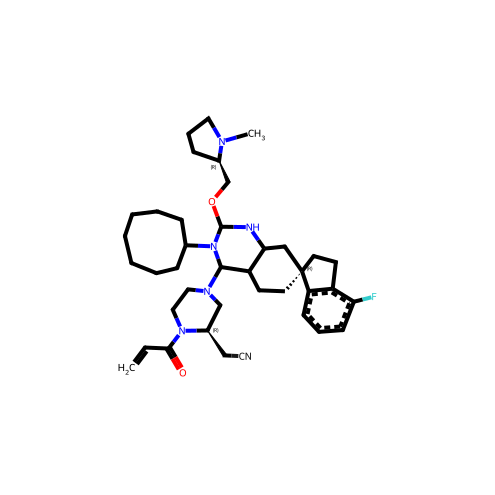 C=CC(=O)N1CCN(C2C3CC[C@@]4(CCc5c(F)cccc54)CC3NC(OC[C@H]3CCCN3C)N2C2CCCCCCC2)C[C@H]1CC#N